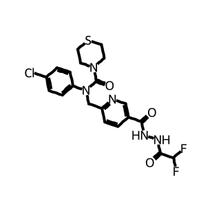 O=C(NNC(=O)C(F)F)c1ccc(CN(C(=O)N2CCSCC2)c2ccc(Cl)cc2)nc1